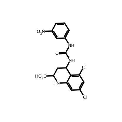 O=C(Nc1cccc([N+](=O)[O-])c1)NC1CC(C(=O)O)Nc2cc(Cl)cc(Cl)c21